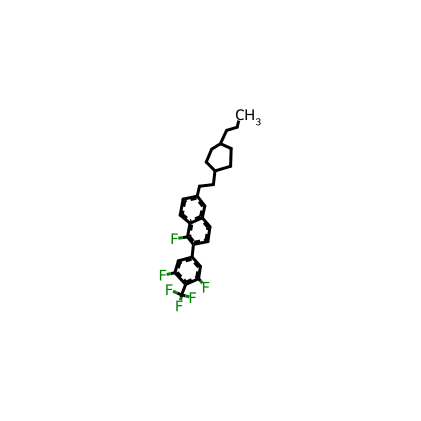 CCCC1CCC(CCc2ccc3c(F)c(-c4cc(F)c(C(F)(F)F)c(F)c4)ccc3c2)CC1